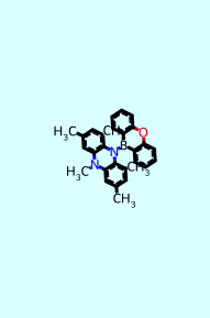 Cc1cc(C)c2c(c1)N(C)c1cc(C)cc(C)c1N2B1c2ccccc2Oc2ccccc21